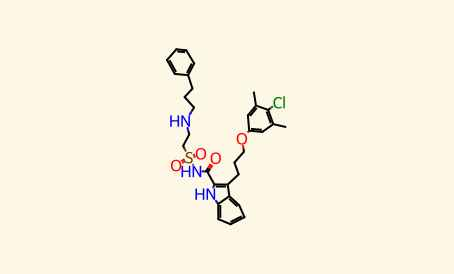 Cc1cc(OCCCc2c(C(=O)NS(=O)(=O)CCNCCCc3ccccc3)[nH]c3ccccc23)cc(C)c1Cl